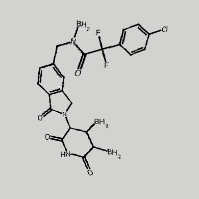 BC1C(=O)NC(=O)C(N2Cc3cc(CN(B)C(=O)C(F)(F)c4ccc(Cl)cc4)ccc3C2=O)C1B